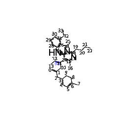 C=C(CC1=CC=C(C)CC1)C/C(=C\C)c1c(C)nc(CCCC)n(C(C)c2ccccc2CC)c1=N